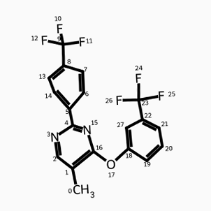 Cc1cnc(-c2ccc(C(F)(F)F)cc2)nc1Oc1cccc(C(F)(F)F)c1